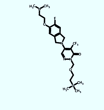 CN(C)CCOc1cc2c(cc1F)CN(c1cnn(COCC[Si](C)(C)C)c(=O)c1C(F)(F)F)C2